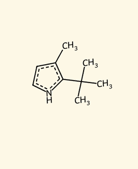 Cc1cc[nH]c1C(C)(C)C